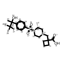 C[C@@H]1CN(CC2(C(=O)O)CCC2)CCN1S(=O)(=O)c1ccc(C(C)(O)C(F)(F)F)cc1